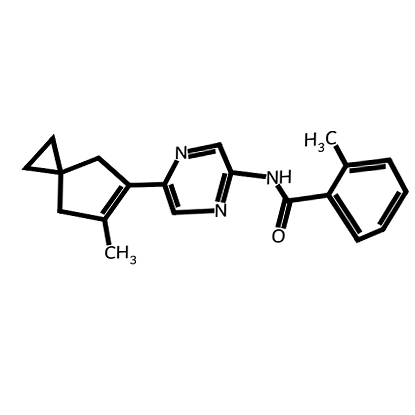 CC1=C(c2cnc(NC(=O)c3ccccc3C)cn2)CC2(CC2)C1